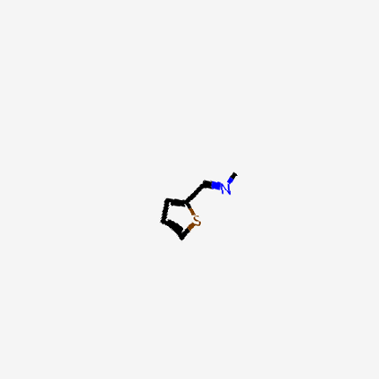 CN=Cc1cccs1